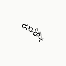 FC(F)(F)Cc1nnc2c(Cl)c(N3CCC4(CC3)COc3ccccc3O4)ccn12